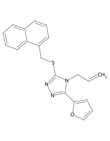 C=CCn1c(SCc2cccc3ccccc23)nnc1-c1ccco1